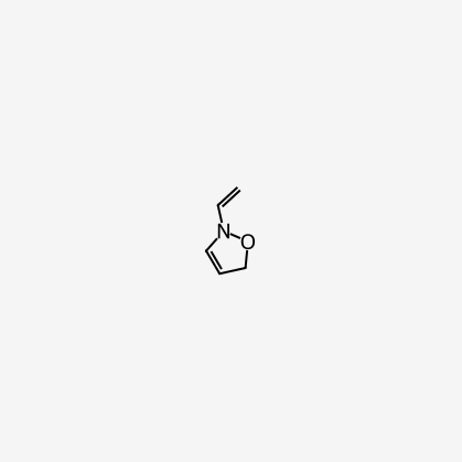 C=CN1C=CCO1